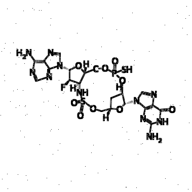 Nc1nc2c(ncn2[C@@H]2O[C@@H]3COS(=O)(=O)N[C@H]4[C@@H](F)[C@H](n5cnc6c(N)ncnc65)O[C@@H]4COP(=O)(S)O[C@@H]2C3)c(=O)[nH]1